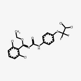 CCOC(=NC(=O)Nc1ccc(SC(F)(F)C(Cl)Cl)cc1)c1c(Cl)cccc1Cl